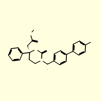 COC(=O)C[C@]1(c2ccccc2)CCN([C@@H](C)c2ccc(-c3ccc(F)cc3)cc2)C(=O)O1